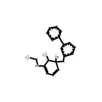 N#CC1(Cc2cccc(-c3ccccc3)c2)C=CC=C(NCC(F)(F)F)C1C(F)(F)F